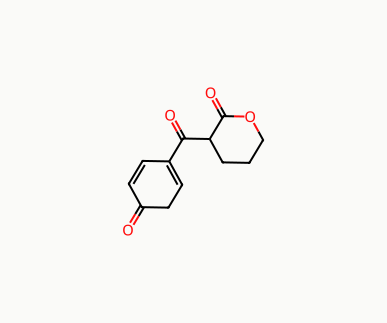 O=C1C=CC(C(=O)C2CCCOC2=O)=CC1